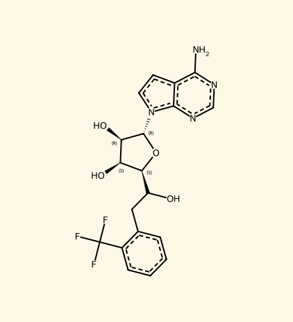 Nc1ncnc2c1ccn2[C@@H]1O[C@@H](C(O)Cc2ccccc2C(F)(F)F)[C@@H](O)[C@H]1O